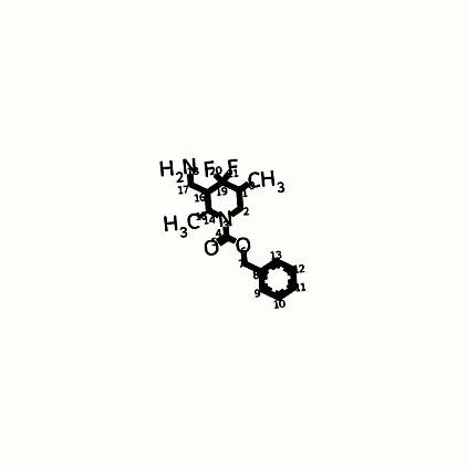 CC1CN(C(=O)OCc2ccccc2)[C@@H](C)C(CN)C1(F)F